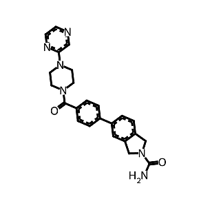 NC(=O)N1Cc2ccc(-c3ccc(C(=O)N4CCN(c5cnccn5)CC4)cc3)cc2C1